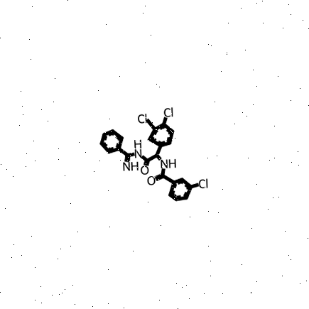 N=C(NC(=O)C(NC(=O)c1cccc(Cl)c1)c1ccc(Cl)c(Cl)c1)c1ccccc1